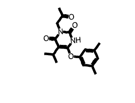 CC(=O)Cn1c(=O)[nH]c(Oc2cc(C)cc(C)c2)c(C(C)C)c1=O